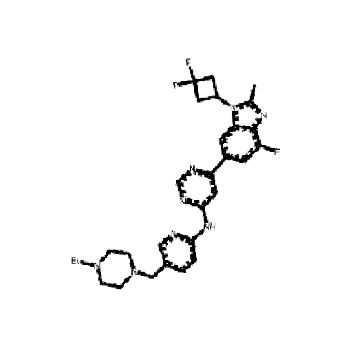 CCN1CCN(Cc2ccc(Nc3cc(-c4cc(F)c5nc(C)n(C6CC(F)(F)C6)c5c4)ncn3)nc2)CC1